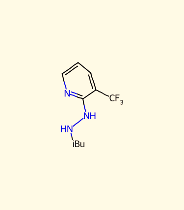 CCC(C)NNc1ncccc1C(F)(F)F